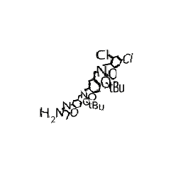 CC1Oc2ccc(CN(Cc3cccc(CN(Cc4ccc(Cl)cc4Cl)C(=O)OC(C)(C)C)c3)C(=O)OC(C)(C)C)cc2N=C1N